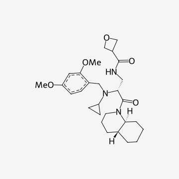 COc1ccc(CN(C2CC2)[C@H](CNC(=O)C2COC2)C(=O)N2CCC[C@H]3CCCC[C@@H]32)c(OC)c1